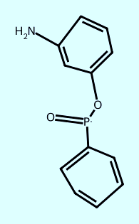 Nc1cccc(O[P](=O)c2ccccc2)c1